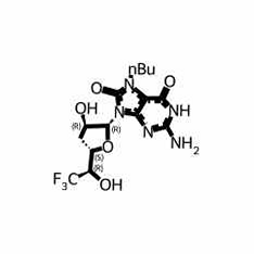 CCCCn1c(=O)n([C@@H]2O[C@H]([C@@H](O)C(F)(F)F)C[C@H]2O)c2nc(N)[nH]c(=O)c21